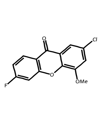 COc1cc(Cl)cc2c(=O)c3ccc(F)cc3oc12